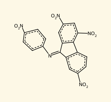 O=[N+]([O-])c1ccc(N=C2c3cc([N+](=O)[O-])ccc3-c3c2cc([N+](=O)[O-])cc3[N+](=O)[O-])cc1